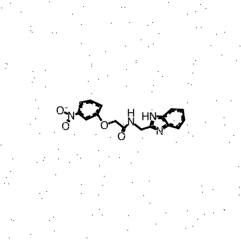 O=C(COc1cccc([N+](=O)[O-])c1)NCc1nc2ccccc2[nH]1